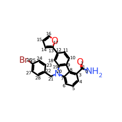 NC(=O)c1cccc2c1c1[c]cc(-c3ccco3)cc1n2Cc1ccc(Br)cc1